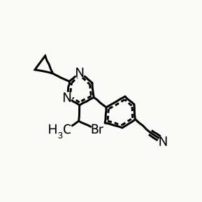 CC(Br)c1nc(C2CC2)ncc1-c1ccc(C#N)cc1